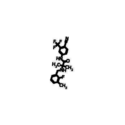 Cc1cccc(CNC(C)(C)C(=O)Nc2ccc(C#N)c(C(F)(F)F)c2)c1F